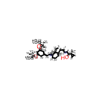 CC(=O)C1([C@@H](O)/C=C/[C@@H](C)[C@H]2CC[C@H]3/C(=C/C=C4C[C@@H](O[Si](C)(C)C(C)(C)C)C[C@H](O[Si](C)(C)C(C)(C)C)C4)CCC[C@]23C)CC1